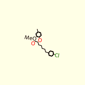 COC(=O)C(CCCCCc1ccc(Cl)cc1)Oc1ccc(C)cc1